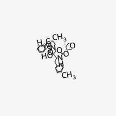 Cc1ccc(CC(NC(=O)OC2CCOC2)C(O)CN(CC(C)C)S(=O)(=O)c2ccccc2)cc1